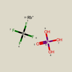 F[B-](F)(F)F.O=P(O)(O)O.[Rb+]